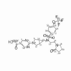 O=C(NO)c1cnc(N2CC3C(C2)C3N(CCN2CCCC2=O)S(=O)(=O)c2ccc(OC(F)(F)F)cc2)nc1